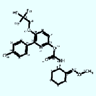 CO/N=C1\CCCC[C@@H]1NC(=O)Oc1ccc(OCC(F)(F)F)c(-c2ccc(Cl)cc2)n1